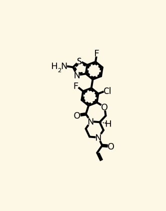 C=CC(=O)N1CCN2C(=O)c3cc(F)c(-c4ccc(F)c5sc(N)nc45)c(Cl)c3OC[C@H]2C1